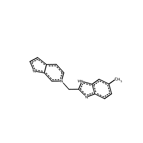 Cc1ccc2nc(Cn3ccc4ccnc-4c3)[nH]c2c1